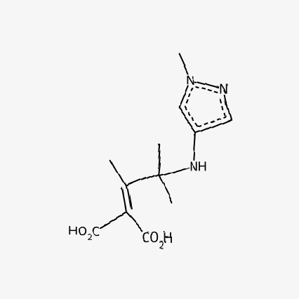 CC(=C(C(=O)O)C(=O)O)C(C)(C)Nc1cnn(C)c1